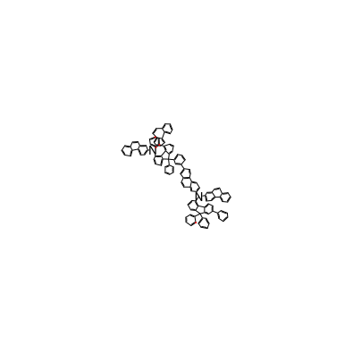 c1ccc(-c2ccc3c(c2)C(c2ccccc2)(c2ccccc2)c2cccc(N(c4ccc5c(ccc6ccccc65)c4)c4ccc5c(ccc6cc(-c7cccc(C8(c9ccccc9)c9cccc(-c%10ccccc%10)c9-c9c(N(c%10ccc%11c(ccc%12ccccc%12%11)c%10)c%10ccc%11c(ccc%12ccccc%12%11)c%10)cccc98)c7)ccc65)c4)c2-3)cc1